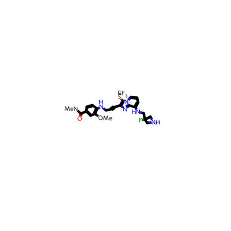 CNC(=O)c1ccc(NCC#Cc2nc3c(NCC4(F)CNC4)cccn3c2SC(F)(F)F)c(OC)c1